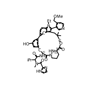 CCn1c(-c2cnccc2COC)c2c3cc(ccc31)-c1cc(O)cc(c1)C[C@H](NC(=O)C(C(C)C)N(C)C(=O)c1ncc[nH]1)C(=O)N1CCC[C@H](N1)C(=O)OCC(C)(C)C2